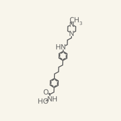 CN1CCN(CCCNc2ccc(CCCCc3ccc(CC(=O)NO)cc3)cc2)CC1